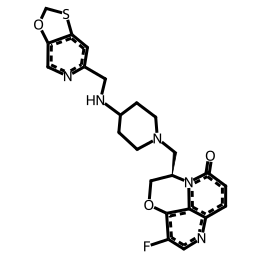 O=c1ccc2ncc(F)c3c2n1[C@H](CN1CCC(NCc2cc4c(cn2)OCS4)CC1)CO3